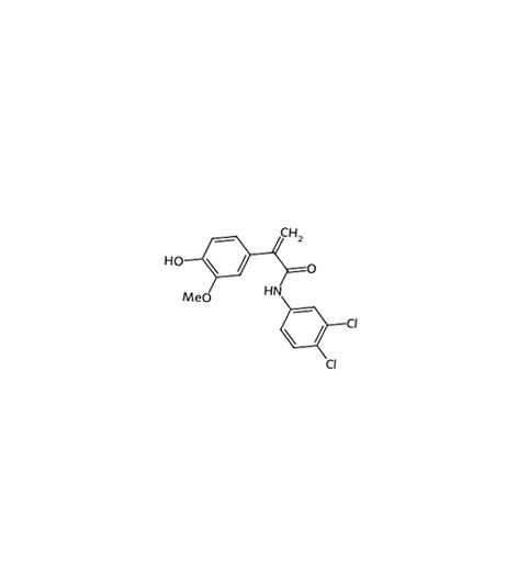 C=C(C(=O)Nc1ccc(Cl)c(Cl)c1)c1ccc(O)c(OC)c1